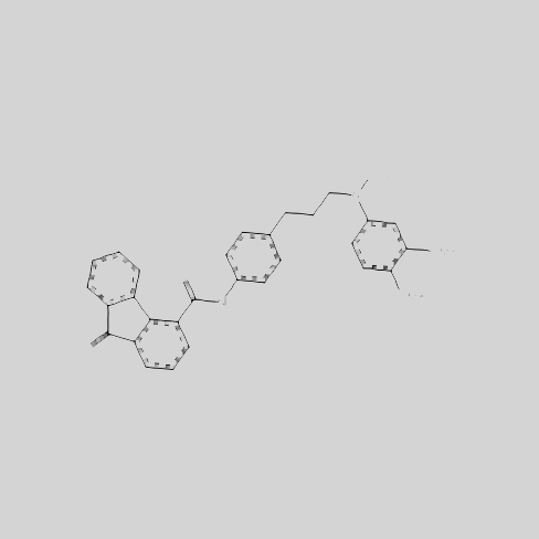 COc1ccc(N(C)CCCc2ccc(NC(=O)c3cccc4c3-c3ccccc3C4=O)cc2)cc1OC